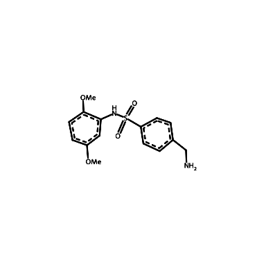 COc1ccc(OC)c(NS(=O)(=O)c2ccc(CN)cc2)c1